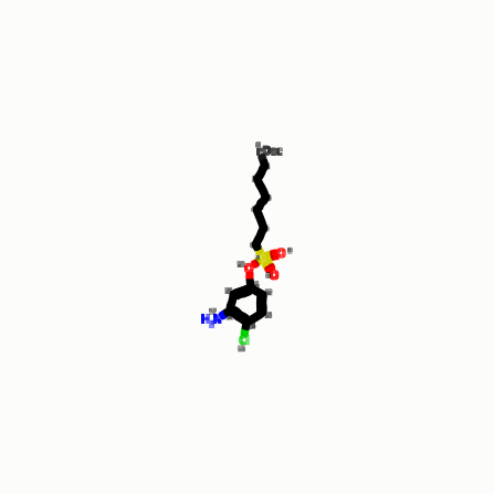 CCCCCCCCCCCCCCCCS(=O)(=O)Oc1ccc(Cl)c(N)c1